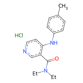 CCN(CC)C(=O)c1cnccc1Nc1ccc(C)cc1.Cl